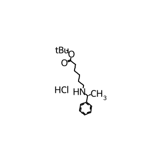 C[C@H](NCCCCCC(=O)OC(C)(C)C)c1ccccc1.Cl